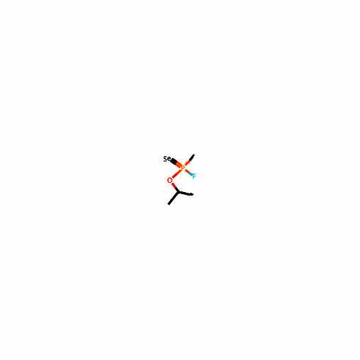 CC(C)OP(C)(F)=[Se]